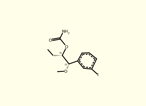 CC[C@H](OC(N)=O)[C@@H](OC)c1cccc(I)c1